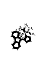 C[C](C)=[Zr]([C]1=C(C2c3ccccc3-c3ccccc32)C=CC1)([N](C)C)[N](C)C